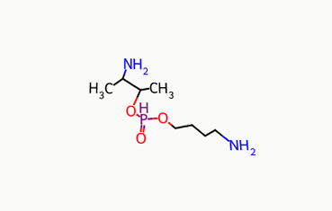 CC(N)C(C)O[PH](=O)OCCCCN